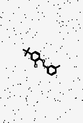 Cc1cccc(COc2ccc(C(C)(C)C)cc2Cl)c1